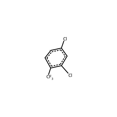 FC(F)(F)c1c[c]c(Cl)cc1Cl